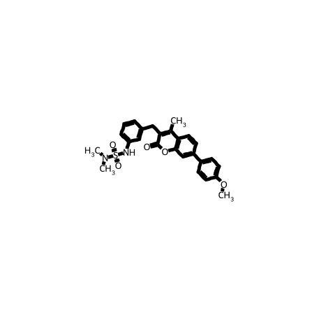 COc1ccc(-c2ccc3c(C)c(Cc4cccc(NS(=O)(=O)N(C)C)c4)c(=O)oc3c2)cc1